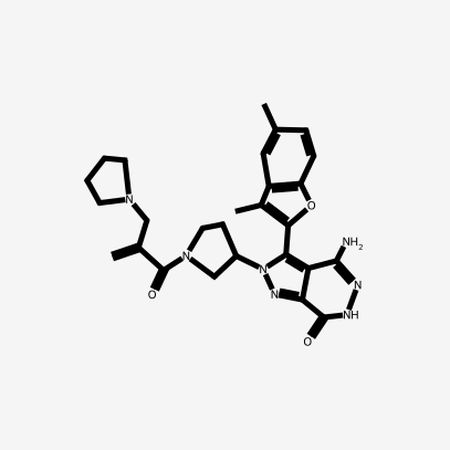 C=C(CN1CCCC1)C(=O)N1CCC(n2nc3c(=O)[nH]nc(N)c3c2-c2oc3ccc(C)cc3c2C)C1